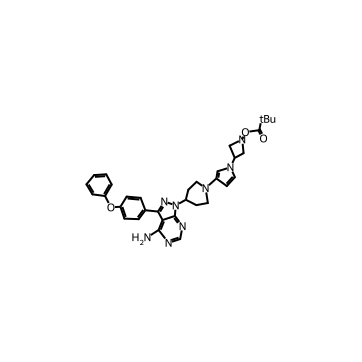 CC(C)(C)C(=O)ON1CC(n2ccc(N3CCC(n4nc(-c5ccc(Oc6ccccc6)cc5)c5c(N)ncnc54)CC3)c2)C1